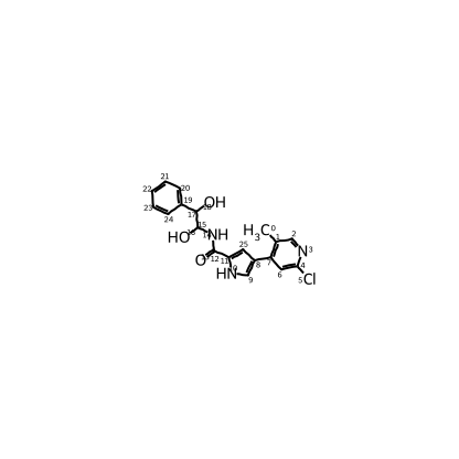 Cc1cnc(Cl)cc1-c1c[nH]c(C(=O)NC(O)C(O)c2ccccc2)c1